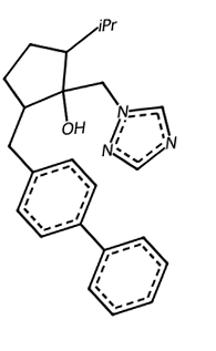 CC(C)C1CCC(Cc2ccc(-c3ccccc3)cc2)C1(O)Cn1cncn1